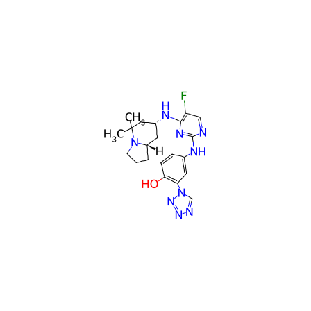 CC1(C)C[C@H](Nc2nc(Nc3ccc(O)c(-n4cnnn4)c3)ncc2F)C[C@@H]2CCCN21